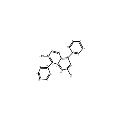 [O-][n+]1ccc2c(-c3ccccc3)cc(Cl)nc2c1-c1ccccc1